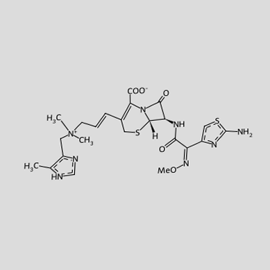 CO/N=C(\C(=O)N[C@@H]1C(=O)N2C(C(=O)[O-])=C(/C=C/C[N+](C)(C)Cc3nc[nH]c3C)CS[C@@H]12)c1csc(N)n1